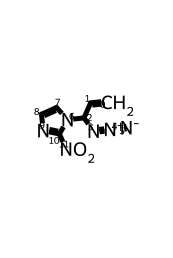 C=CC(N=[N+]=[N-])n1ccnc1[N+](=O)[O-]